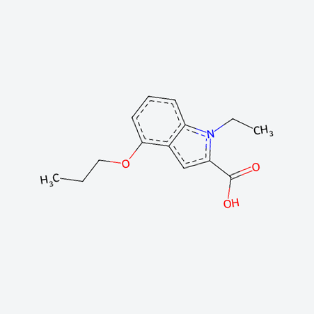 CCCOc1cccc2c1cc(C(=O)O)n2CC